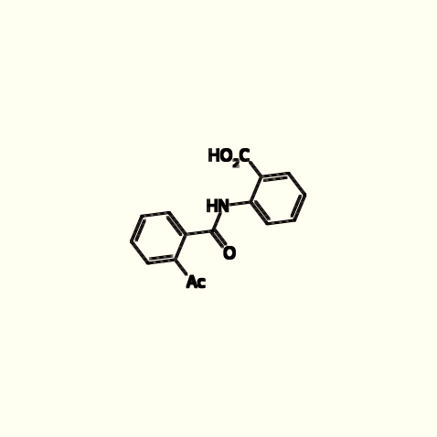 CC(=O)c1ccccc1C(=O)Nc1ccccc1C(=O)O